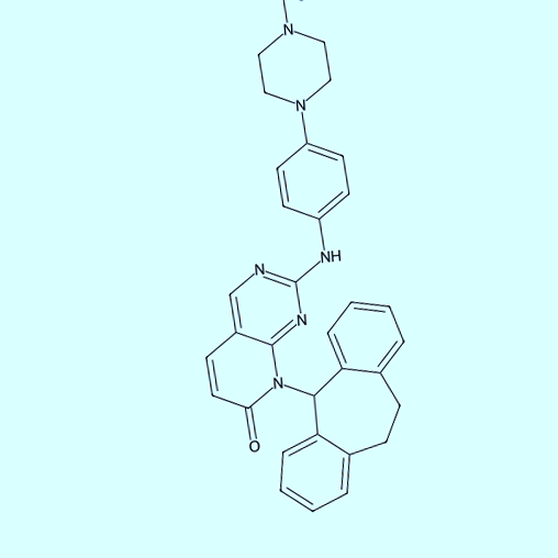 CN1CCN(c2ccc(Nc3ncc4ccc(=O)n(C5c6ccccc6CCc6ccccc65)c4n3)cc2)CC1